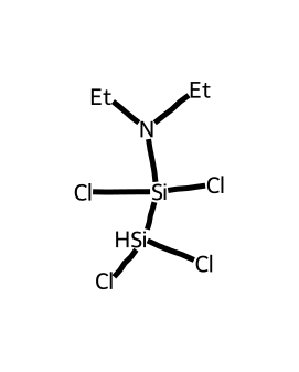 CCN(CC)[Si](Cl)(Cl)[SiH](Cl)Cl